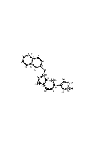 c1cnc2ccc(Cn3cnc4ccc(-c5cn[nH]c5)nc43)cc2c1